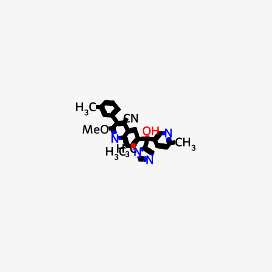 COc1nc2c(C)cc(C(O)(c3ccc(C)nc3)c3cncn3C)cc2c(C#N)c1-c1cccc(C)c1